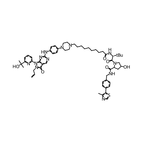 C=CCn1c(=O)c2cnc(Nc3ccc(N4CCN(CCCCCCCCCC(=O)N[C@H](C(=O)N5CC(O)CC5C(=O)NCc5ccc(-c6scnc6C)cc5)C(C)(C)C)CC4)cc3)nc2n1-c1cccc(C(C)(C)O)n1